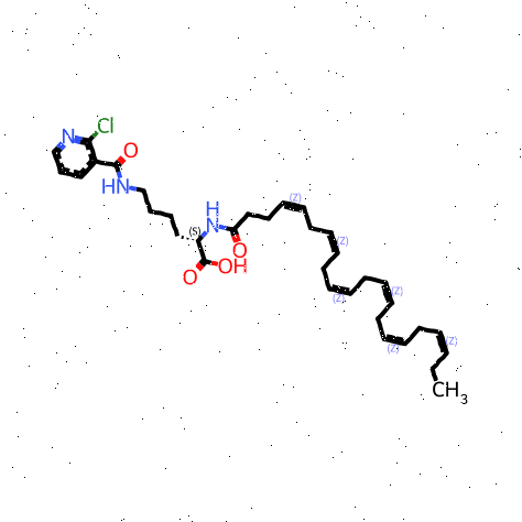 CC/C=C\C/C=C\C/C=C\C/C=C\C/C=C\C/C=C\CCC(=O)N[C@@H](CCCCNC(=O)c1cccnc1Cl)C(=O)O